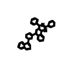 c1ccc(-c2nc(-c3ccccc3)c3cc(-c4cccc(-c5cccc6ccccc56)c4)c4ccccc4c3n2)cc1